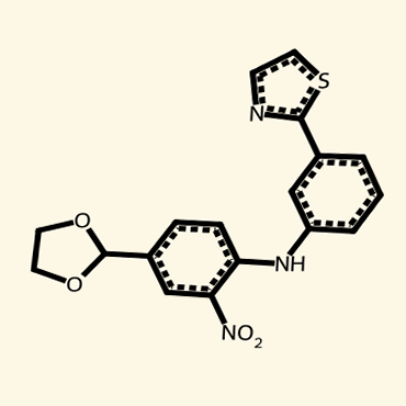 O=[N+]([O-])c1cc(C2OCCO2)ccc1Nc1cccc(-c2nccs2)c1